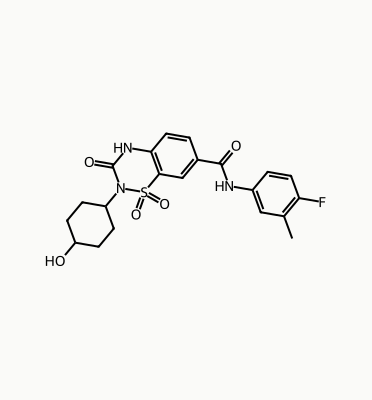 Cc1cc(NC(=O)c2ccc3c(c2)S(=O)(=O)N(C2CCC(O)CC2)C(=O)N3)ccc1F